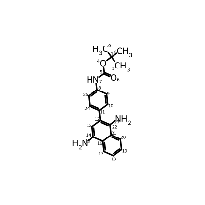 CC(C)(C)OC(=O)Nc1ccc(-c2cc(N)c3ccccc3c2N)cc1